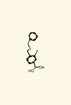 OB(O)c1ccc(CSCc2ccccc2)c(F)c1